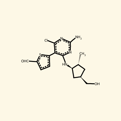 C[C@@H]1C[C@@H](CO)C[C@H]1Nc1nc(N)nc(Cl)c1-c1ccc(C=O)s1